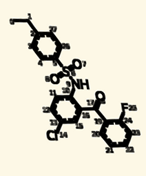 CCc1ccc(S(=O)(=O)Nc2ccc(Cl)cc2C(=O)c2ccccc2F)cc1